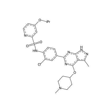 Cc1n[nH]c2nc(-c3ccc(NS(=O)(=O)c4cc(OC(C)C)ccn4)c(Cl)c3)nc(OC3CCN(C)CC3)c12